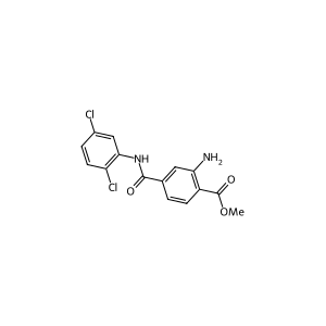 COC(=O)c1ccc(C(=O)Nc2cc(Cl)ccc2Cl)cc1N